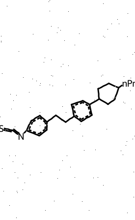 CCCC1CCC(c2ccc(CCc3ccc(N=C=S)cc3)cc2)CC1